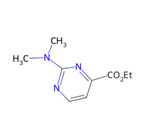 CCOC(=O)c1ccnc(N(C)C)n1